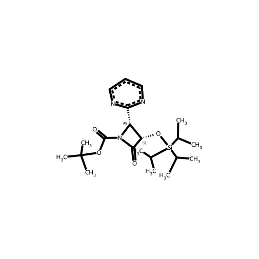 CC(C)[Si](O[C@@H]1C(=O)N(C(=O)OC(C)(C)C)[C@@H]1c1ncccn1)(C(C)C)C(C)C